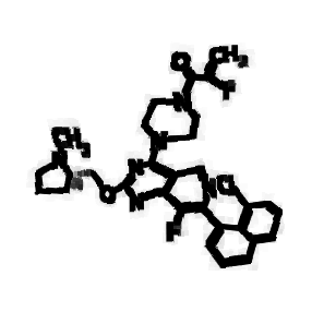 C=C(F)C(=O)N1CCN(c2nc(OC[C@@H]3CCCN3C)nc3c(F)c(-c4cccc5cccc(Cl)c45)ncc23)CC1